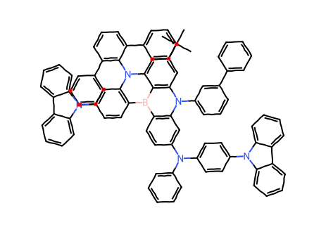 CC(C)(C)c1cc2c3c(c1)N(c1c(-c4ccccc4)cccc1-c1ccccc1)c1cc(-n4c5ccccc5c5ccccc54)ccc1B3c1ccc(N(c3ccccc3)c3ccc(-n4c5ccccc5c5ccccc54)cc3)cc1N2c1cccc(-c2ccccc2)c1